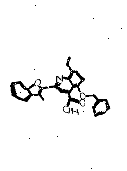 CCc1ccc(OCc2ccccc2)c2c(C(=O)O)cc(-c3oc4ccccc4c3C)nc12